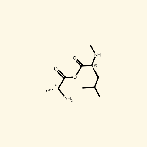 CN[C@@H](CC(C)C)C(=O)OC(=O)[C@@H](C)N